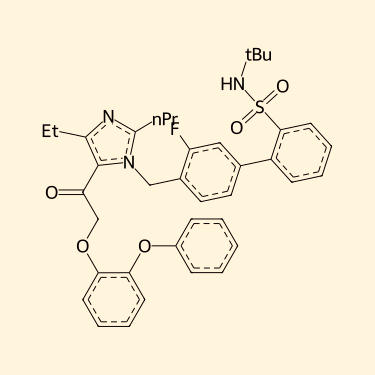 CCCc1nc(CC)c(C(=O)COc2ccccc2Oc2ccccc2)n1Cc1ccc(-c2ccccc2S(=O)(=O)NC(C)(C)C)cc1F